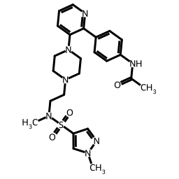 CC(=O)Nc1ccc(-c2ncccc2N2CCN(CCN(C)S(=O)(=O)c3cnn(C)c3)CC2)cc1